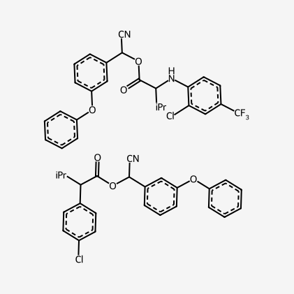 CC(C)C(C(=O)OC(C#N)c1cccc(Oc2ccccc2)c1)c1ccc(Cl)cc1.CC(C)C(Nc1ccc(C(F)(F)F)cc1Cl)C(=O)OC(C#N)c1cccc(Oc2ccccc2)c1